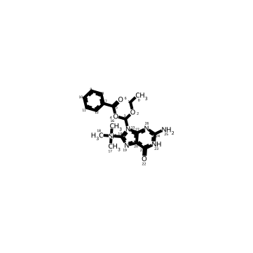 CCOC(OC(=O)c1ccccc1)n1c([Si](C)(C)C)nc2c(=O)[nH]c(N)nc21